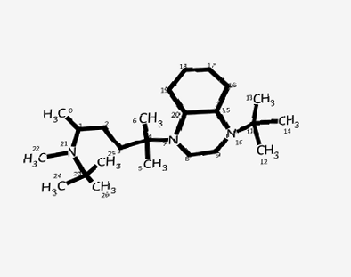 CC(CCC(C)(C)N1CCN(C(C)(C)C)C2CCCCC21)N(C)C(C)(C)C